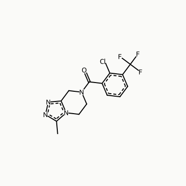 Cc1nnc2n1CCN(C(=O)c1cccc(C(F)(F)F)c1Cl)C2